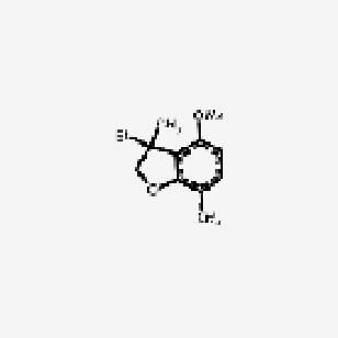 CCC1(C)COc2c(C)ccc(OC)c21